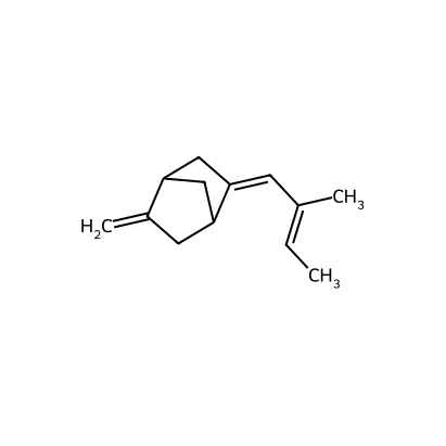 C=C1CC2CC1CC2=CC(C)=CC